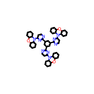 c1ccc2c(c1)Oc1ccccc1N2c1ccnc(-c2cc(-c3nccc(N4c5ccccc5Oc5ccccc54)n3)cc(-c3nccc(N4c5ccccc5Oc5ccccc54)n3)c2)n1